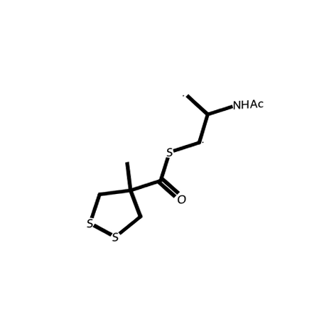 [CH2]C([CH]SC(=O)C1(C)CSSC1)NC(C)=O